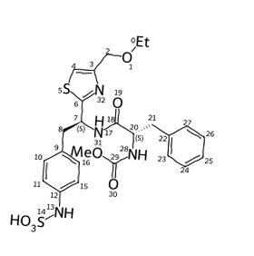 CCOCc1csc([C@H](Cc2ccc(NS(=O)(=O)O)cc2)NC(=O)[C@H](Cc2ccccc2)NC(=O)OC)n1